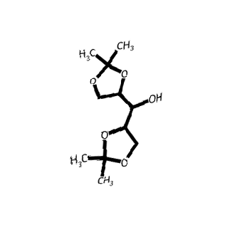 CC1(C)OCC(C(O)C2COC(C)(C)O2)O1